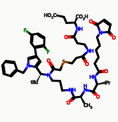 CC(C)[C@H](NC(=O)CCCCCN1C(=O)C=CC1=O)C(=O)N[C@@H](C)C(=O)NCCCN(C(=O)CSCCC(=O)NCCC(=O)N[C@@H](CCC(=O)O)C(=O)O)[C@@H](c1cc(-c2cc(F)ccc2F)cn1Cc1ccccc1)C(C)(C)C